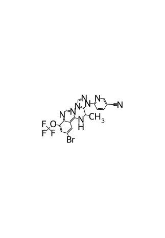 CC(Nc1ncnc2c(OC(F)(F)F)cc(Br)cc12)c1ncnn1-c1ccc(C#N)cn1